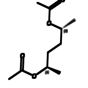 CC(=O)O[C@H](C)CC[C@@H](C)OC(C)=O